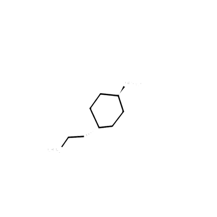 CCCCC[C@H]1CC[C@H](CCC=O)CC1